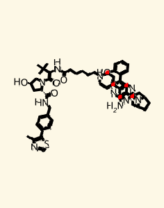 Cc1ncsc1-c1ccc(CNC(=O)[C@@H]2C[C@@H](O)CN2C(=O)C(NC(=O)CCCCCN2CCC(c3cnc(N4C5CCC4CN(c4cc(-c6ccccc6O)nnc4N)C5)nc3)CC2)C(C)(C)C)cc1